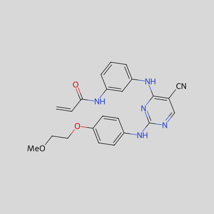 C=CC(=O)Nc1cccc(Nc2nc(Nc3ccc(OCCOC)cc3)ncc2C#N)c1